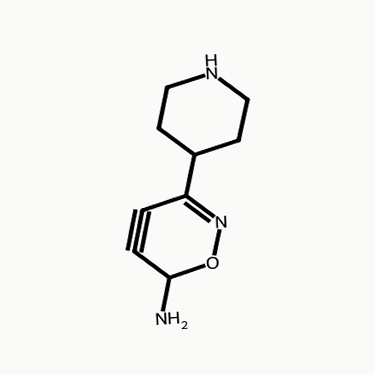 NC1C#CC(C2CCNCC2)=NO1